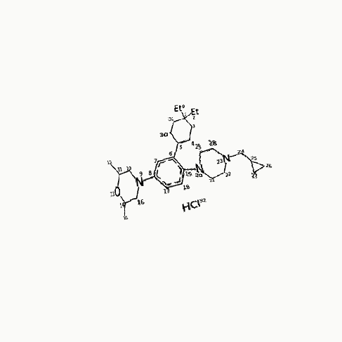 CCC1(CC)CCC(c2cc(N3CC(C)OC(C)C3)ccc2N2CCN(CC3CC3)CC2)CC1.Cl